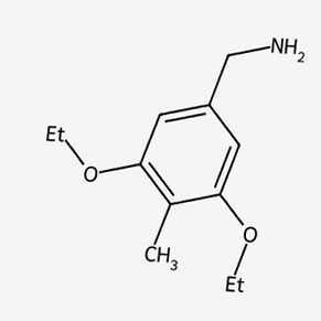 CCOc1cc(CN)cc(OCC)c1C